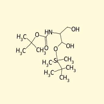 CC(C)(C)OC(=O)NC(CO)C(O)O[Si](C)(C)C(C)(C)C